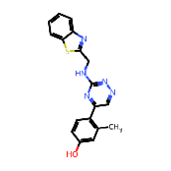 Cc1cc(O)ccc1-c1cnnc(NCc2nc3ccccc3s2)n1